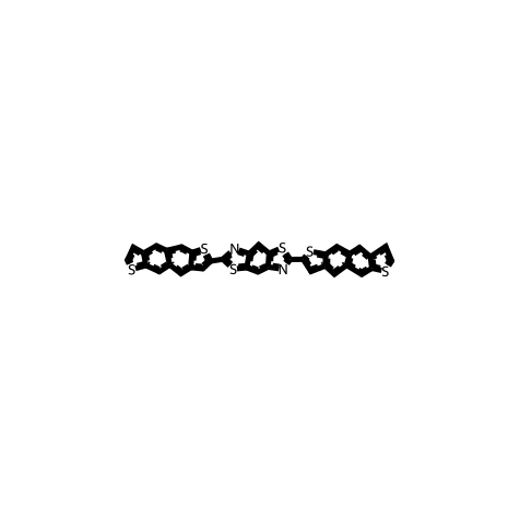 c1cc2cc3cc4sc(-c5nc6cc7sc(-c8cc9cc%10cc%11sccc%11cc%10cc9s8)nc7cc6s5)cc4cc3cc2s1